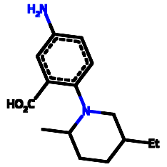 CCC1CCC(C)N(c2ccc(N)cc2C(=O)O)C1